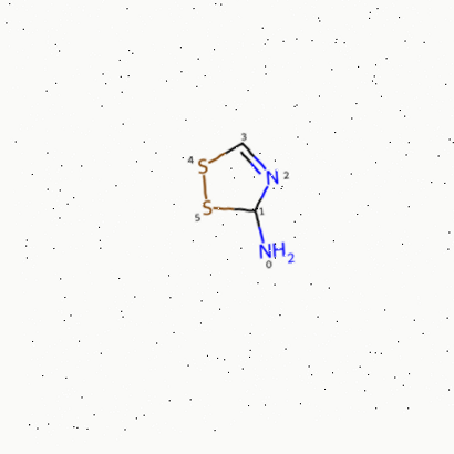 NC1N=CSS1